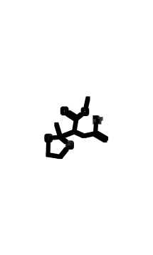 C=C(Br)CC(C(=O)OC)C1(C)OCCO1